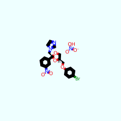 O=[N+]([O-])O.O=[N+]([O-])c1cccc([C@]2(Cn3ccnc3)OC[C@@H](COc3ccc(Br)cc3)O2)c1